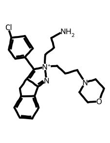 NCCC[N+]1(CCCN2CCOCC2)N=C2C(=C1c1ccc(Cl)cc1)Cc1ccccc12